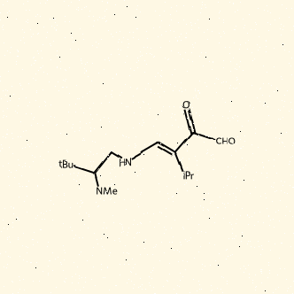 CNC(CN/C=C(/C(=O)C=O)C(C)C)C(C)(C)C